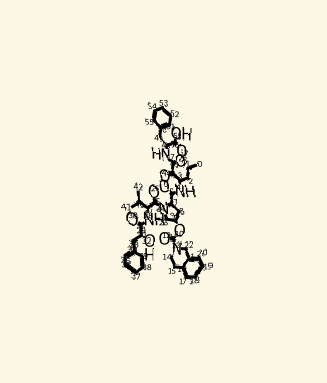 CCCC(NC(=O)C1CC(OC(=O)N2CCc3ccccc3C2)CN1C(=O)[C@@H](NC(=O)[C@H](O)Cc1ccccc1)C(C)C)C(=O)C(=O)N[C@@H](Cc1ccccc1)C(=O)O